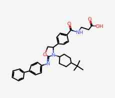 CC(C)(C)C1CCC(N2/C(=N/c3ccc(-c4ccccc4)cc3)OCC2c2ccc(C(=O)NCCC(=O)O)cc2)CC1